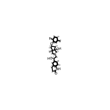 O=C1CCc2cc([C@H](O)CN3C[C@@H]4C[C@@H](Oc5cc(F)ccc5F)C[C@]4(O)C3)ccc2N1